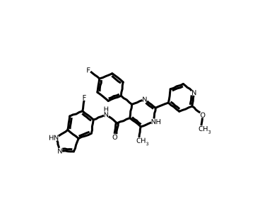 COc1cc(C2=NC(c3ccc(F)cc3)C(C(=O)Nc3cc4cn[nH]c4cc3F)=C(C)N2)ccn1